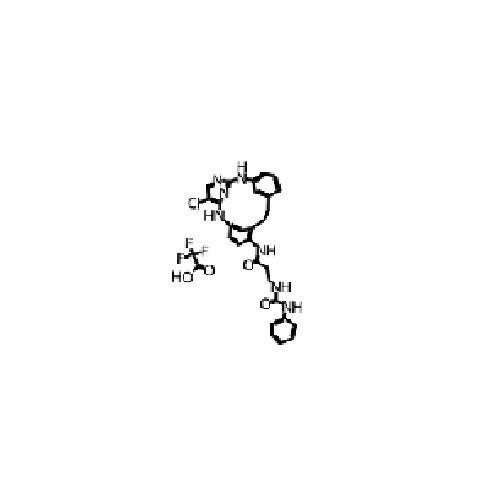 O=C(CCNC(=O)Nc1ccccc1)Nc1ccc2cc1CCc1cccc(c1)Nc1ncc(Cl)c(n1)N2.O=C(O)C(F)(F)F